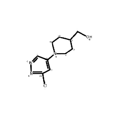 OCC1CCN(c2cnnc(Cl)c2)CC1